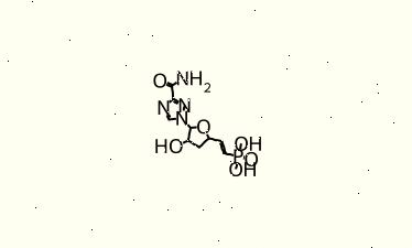 NC(=O)c1ncn(C2OC(C=CP(=O)(O)O)CC2O)n1